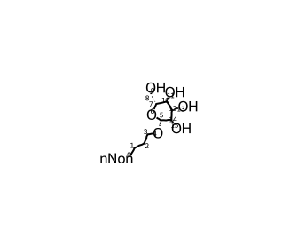 CCCCCCCCCCCCO[C@@H]1O[C@H](CO)[C@@H](O)[C@@H](O)[C@H]1O